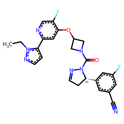 CCn1nccc1-c1cc(OC2CN(C(=O)N3N=CC[C@H]3c3cc(F)cc(C#N)c3)C2)c(F)cn1